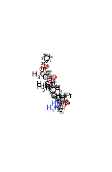 CC(C)C1=C2[C@H]3CC[C@@H]4[C@@]5(C)CC[C@H](OC(=O)[C@H]6C[C@@H](C(=O)OCc7ccccc7)C6(C)C)C(C)(C)[C@@H]5CC[C@@]4(C)[C@]3(C)CC[C@@]2(NC(=O)C2(N)CCC2)CC1=O